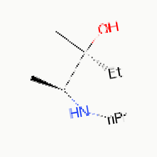 CCCN[C@@H](C)[C@@](C)(O)CC